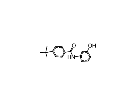 CC(C)(C)c1ccc(C(=O)Nc2cccc(O)c2)cc1